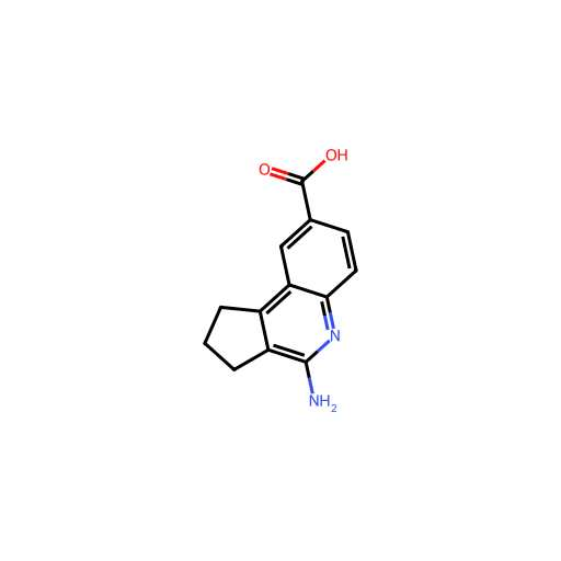 Nc1nc2ccc(C(=O)O)cc2c2c1CCC2